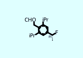 CC(C)c1cc([C@@H](C)F)cc(C(C)C)c1CC=O